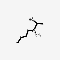 CCCCN(N)C(C)O